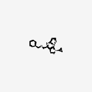 c1ccc(COCc2nc3ccnn3c3c2CCN3C2CC2)cc1